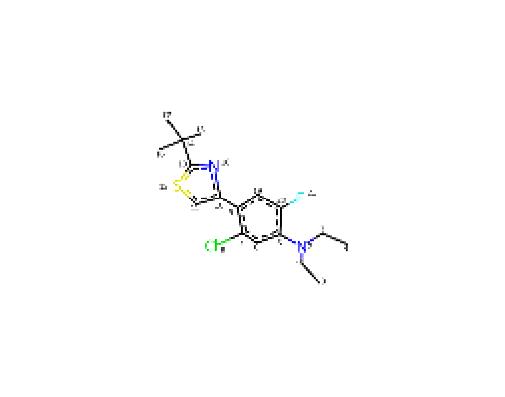 CCN(CC)c1cc(Cl)c(-c2csc(C(C)(C)C)n2)cc1F